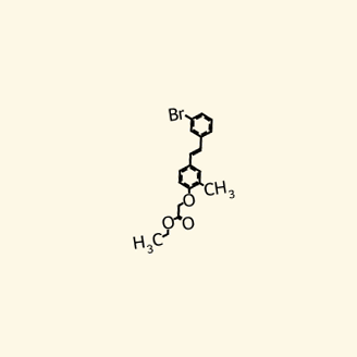 CCOC(=O)COc1ccc(C=Cc2cccc(Br)c2)cc1C